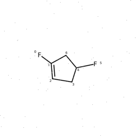 FC1=CCC(F)C1